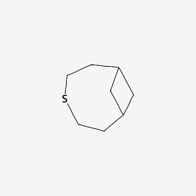 C1CC2CC(CCS1)C2